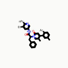 CCCc1ncc(NC(=O)C(Cc2ccccc2)n2cc(C)c(-c3cc(C)ccc3C(C)=O)cc2=O)cc1CC